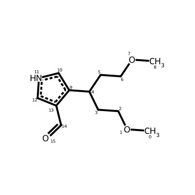 COCCC(CCOC)c1c[nH]cc1C=O